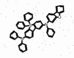 c1ccc(N(c2ccccc2)c2ccc3c(c2)S(c2ccccc2)(c2ccccc2)c2ccc(N(c4ccccc4)c4ccc5c(c4)oc4ccccc45)cc2-3)cc1